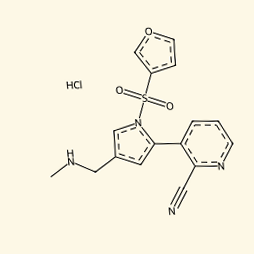 CNCc1cc(-c2cccnc2C#N)n(S(=O)(=O)c2ccoc2)c1.Cl